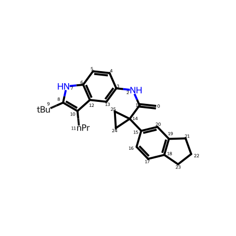 C=C(Nc1ccc2[nH]c(C(C)(C)C)c(CCC)c2c1)C1(c2ccc3c(c2)CCC3)CC1